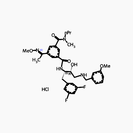 CCCN(C)C(=O)c1cc(C(=O)N[C@@H](Cc2cc(F)cc(F)c2)[C@H](O)CNCc2cccc(OC)c2)cc(/C(C)=N/OC)c1.Cl